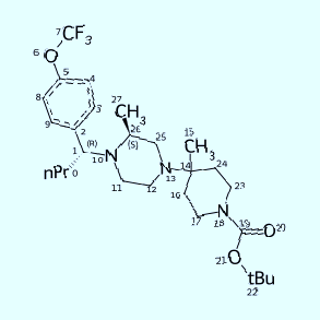 CCC[C@H](c1ccc(OC(F)(F)F)cc1)N1CCN(C2(C)CCN(C(=O)OC(C)(C)C)CC2)C[C@@H]1C